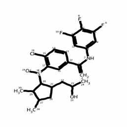 C=C(Nc1cc(F)c(F)c(F)c1)c1ccc(Cl)c([S+]([O-])C2C(CC(C)O)CC(C)C2C)c1